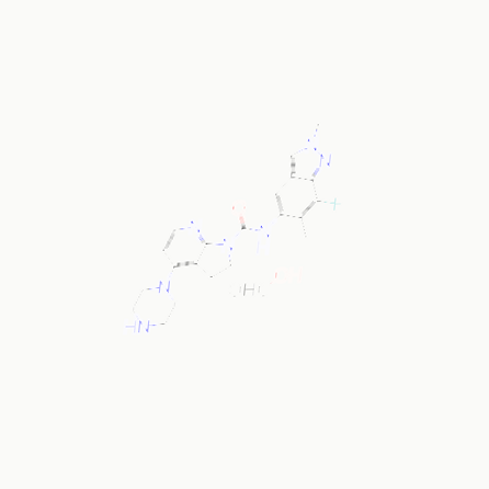 Cc1c(NC(=O)N2CCc3c(N4CCNCC4)ccnc32)cc2cn(C)nc2c1F.O=CO